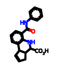 O=C(Nc1ccccc1)c1cccc2c1NC(C(=O)O)C1CC=CC21